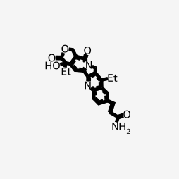 CCc1c2c(nc3ccc(C=CC(N)=O)cc13)-c1cc3c(c(=O)n1C2)COC(=O)C3(O)CC